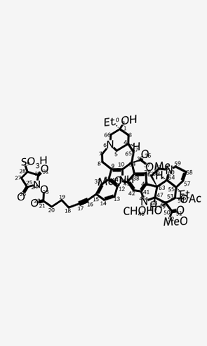 CC[C@]1(O)C[C@@H]2CN(CCc3c([nH]c4ccc(C#CCCCC(=O)ON5C(=O)CC(S(=O)(=O)O)C5=O)cc34)[C@@](C(=O)OC)(c3cc4c(cc3OC)N(C=O)[C@H]3[C@@](O)(C(=O)OC)[C@H](OC(C)=O)[C@]5(CC)C=CCN6CC[C@]43[C@@H]65)C2)C1